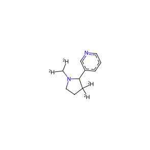 [2H]C([2H])N1CCC([2H])([2H])C1c1cccnc1